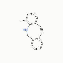 Cc1cccc2c1NCc1ccccc1C#C2